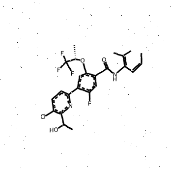 C/C=C\C(NC(=O)c1cc(F)c(-c2ccc(Cl)c(C(C)O)n2)cc1O[C@@H](C)C(F)(F)F)=C(C)C